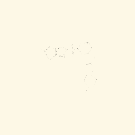 CN1CCC(CC(=O)Nc2cccc(S(=O)(=O)c3cc4cc(F)ccc4[nH]3)c2)CC1